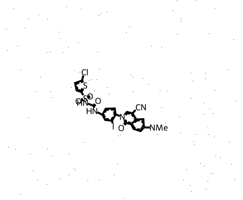 CNc1ccc2c(=O)n(-c3ccc(NC(=O)NS(=O)(=O)c4ccc(Cl)s4)cc3I)cc(C#N)c2c1